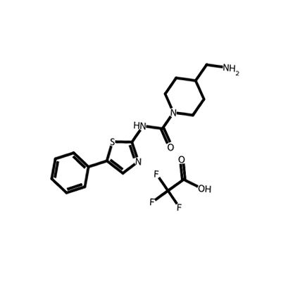 NCC1CCN(C(=O)Nc2ncc(-c3ccccc3)s2)CC1.O=C(O)C(F)(F)F